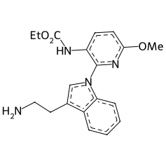 CCOC(=O)Nc1ccc(OC)nc1-n1cc(CCN)c2ccccc21